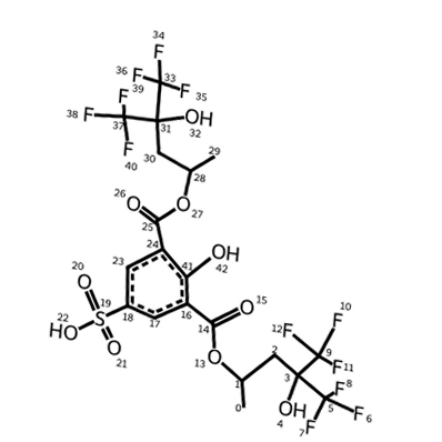 CC(CC(O)(C(F)(F)F)C(F)(F)F)OC(=O)c1cc(S(=O)(=O)O)cc(C(=O)OC(C)CC(O)(C(F)(F)F)C(F)(F)F)c1O